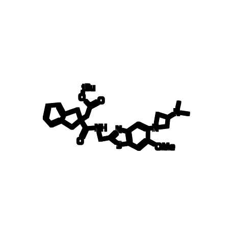 COc1cc2sc(CNC(=O)C3(CC(=O)OC(C)(C)C)Cc4ccccc4C3)nc2cc1N1CC(N(C)C)C1